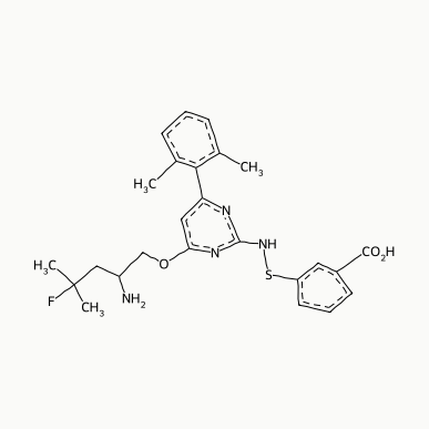 Cc1cccc(C)c1-c1cc(OCC(N)CC(C)(C)F)nc(NSc2cccc(C(=O)O)c2)n1